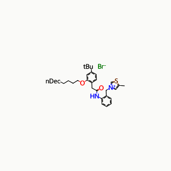 CCCCCCCCCCCCCCOc1cc(C(C)(C)C)ccc1CC(=O)Nc1ccccc1C[n+]1csc(C)c1.[Br-]